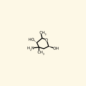 CC1O[C@@H](O)CC(C)(N)[C@@H]1O